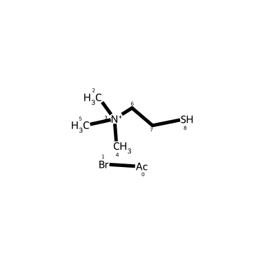 CC(=O)Br.C[N+](C)(C)CCS